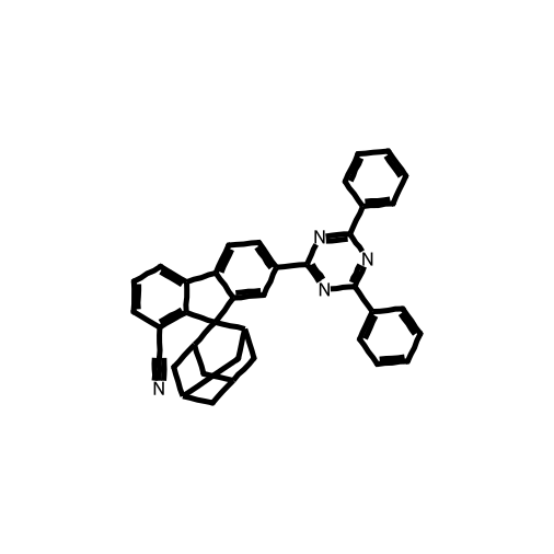 N#Cc1cccc2c1C1(c3cc(-c4nc(-c5ccccc5)nc(-c5ccccc5)n4)ccc3-2)C2CC3CC(C2)CC1C3